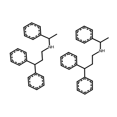 CC(NCCC(c1ccccc1)c1ccccc1)c1ccccc1.CC(NCCC(c1ccccc1)c1ccccc1)c1ccccc1